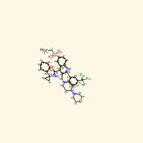 CCS(=O)(=O)c1ccc2nc(-c3cccc(C(F)(F)F)c3)c(CN3CCC(N4CCOCC4)CC3)c(C(=O)NC3(c4ccccc4)CC3)c2c1